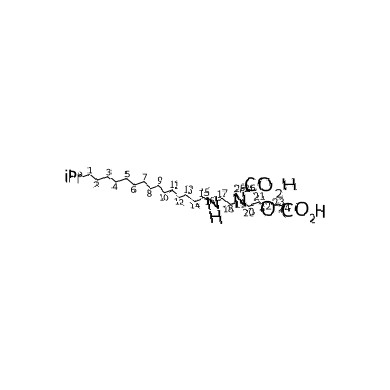 CC(C)CCCCCCCCCCCCCCCNCCN(CCOCC(=O)O)CC(=O)O